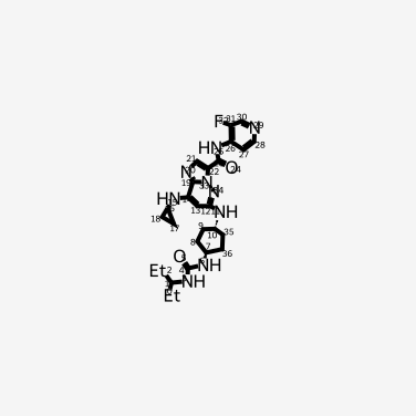 CCC(CC)NC(=O)N[C@H]1CC[C@H](Nc2cc(NC3CC3)c3ncc(C(=O)Nc4ccncc4F)n3n2)CC1